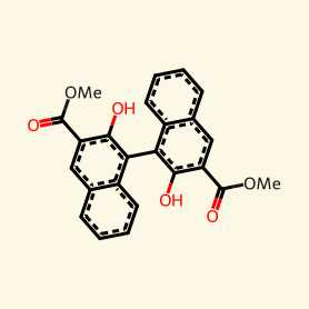 COC(=O)c1cc2ccccc2c(-c2c(O)c(C(=O)OC)cc3ccccc23)c1O